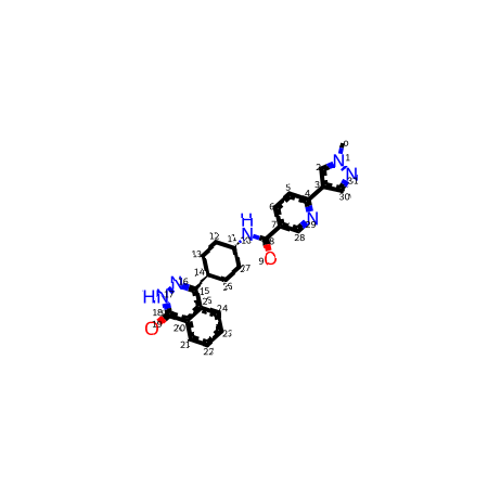 Cn1cc(-c2ccc(C(=O)N[C@H]3CC[C@H](c4n[nH]c(=O)c5ccccc54)CC3)cn2)cn1